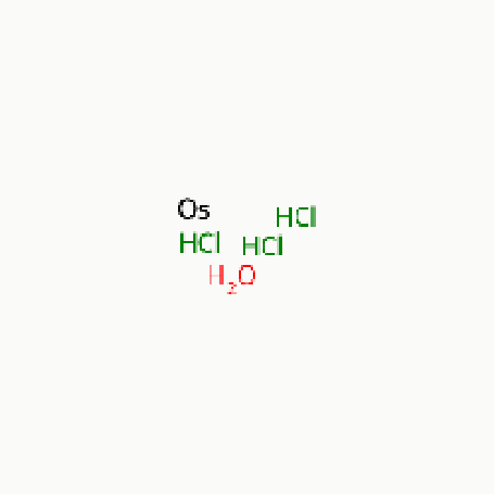 Cl.Cl.Cl.O.[Os]